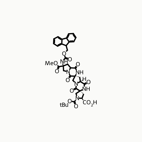 COC(=O)[C@]1(NC(=O)OCC2c3ccccc3-c3ccccc32)CC2C(=O)N[C@]3(C[C@H]4C(=O)N[C@]5(C[C@@H](C(=O)O)N(C(=O)OC(C)(C)C)C5)C(=O)N4C3)C(=O)N2C1